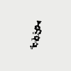 CN(C)[C@@H]1CCN(c2ccc(N3CCc4cc(C5CC5)ccc4C3=O)cc2F)C1